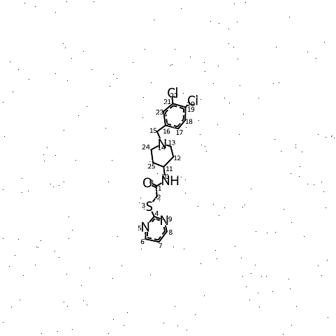 O=C(CSc1ncccn1)NC1CCN(Cc2ccc(Cl)c(Cl)c2)CC1